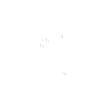 NC(=O)C(c1cccnc1)c1ccc(-c2ccsc2)nc1NCCc1cccc(F)c1